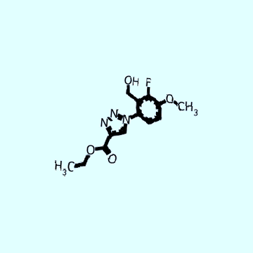 CCOC(=O)c1cn(-c2ccc(OC)c(F)c2CO)nn1